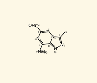 CNc1nc(C=O)cn2c(C)nnc12